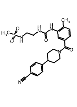 Cc1ccc(C(=O)N2CCC(c3ccc(C#N)cc3)CC2)cc1NC(=O)NCCNS(C)(=O)=O